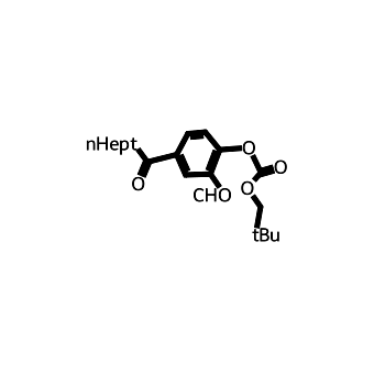 CCCCCCCC(=O)c1ccc(OC(=O)OCC(C)(C)C)c(C=O)c1